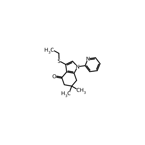 CCSc1cn(-c2ccccn2)c2c1C(=O)CC(C)(C)C2